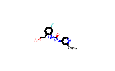 COc1cc(NC(=O)Nc2cc(F)ccc2CCO)ccn1